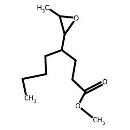 CCCCC(CCC(=O)OC)C1OC1C